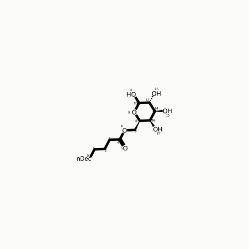 CCCCCCCCCCCCCC(=O)OC[C@H]1OC(O)[C@H](O)[C@@H](O)[C@H]1O